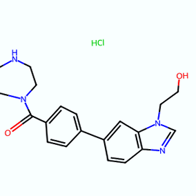 Cl.O=C(c1ccc(-c2ccc3ncn(CCO)c3c2)cc1)N1CCNCC1